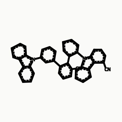 N#Cc1cccc(-c2cccc(-n3c4ccccc4c4ccccc43)c2)c1-c1ccccc1-n1c2ccccc2c2c(C#N)cccc21